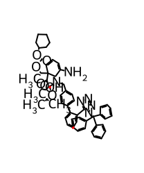 CC(OC(=O)OC1CCCCC1)C1(C(=O)O)C=CC=C(N)C1N(Cc1ccc(-c2ccccc2-c2nnnn2C(c2ccccc2)(c2ccccc2)c2ccccc2)cc1)C(=O)OC(C)(C)C